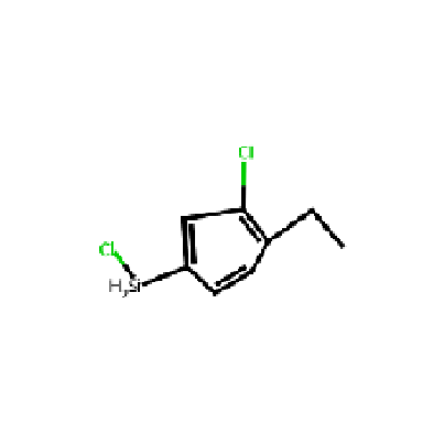 CCc1ccc([SiH2]Cl)cc1Cl